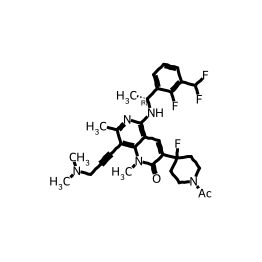 CC(=O)N1CCC(F)(c2cc3c(N[C@H](C)c4cccc(C(F)F)c4F)nc(C)c(C#CCN(C)C)c3n(C)c2=O)CC1